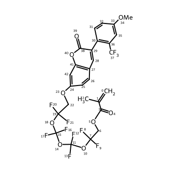 C=C(C)C(=O)OCC(F)(F)OC(F)(F)OC(F)(F)OC(F)(F)COc1ccc2cc(-c3ccc(OC)cc3C(F)(F)F)c(=O)oc2c1